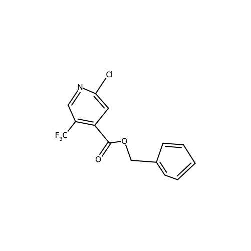 O=C(OCc1ccccc1)c1cc(Cl)ncc1C(F)(F)F